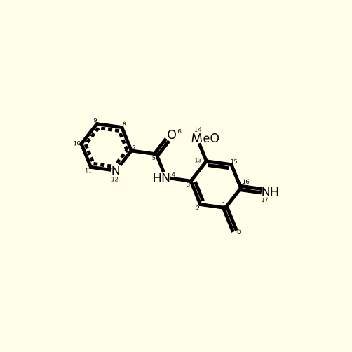 C=C1C=C(NC(=O)c2ccccn2)C(OC)=CC1=N